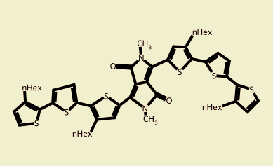 CCCCCCc1ccsc1-c1ccc(-c2sc(C3=C4C(=O)N(C)C(c5cc(CCCCCC)c(-c6ccc(-c7sccc7CCCCCC)s6)s5)=C4C(=O)N3C)cc2CCCCCC)s1